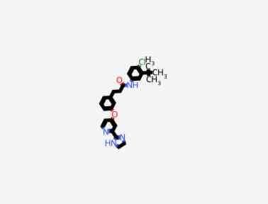 CC(C)(C)c1cc(NC(=O)CCc2cccc(Oc3ccnc(C4=NCCN4)c3)c2)ccc1Cl